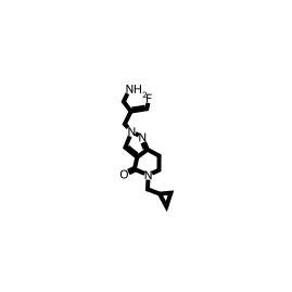 NCC(=CF)Cn1cc2c(n1)CCN(CC1CC1)C2=O